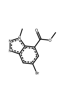 COC(=O)c1cc(Br)cc2nnn(C)c12